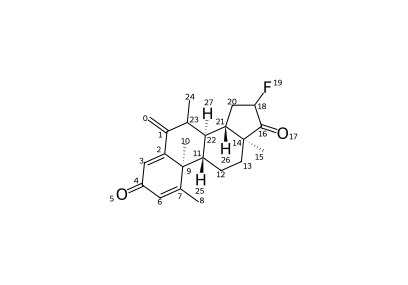 C=C1C2=CC(=O)C=C(C)[C@]2(C)[C@H]2CC[C@]3(C)C(=O)C(F)C[C@H]3[C@@H]2C1C